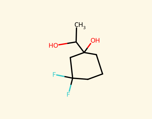 CC(O)C1(O)CCCC(F)(F)C1